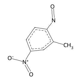 Cc1cc([N+](=O)[O-])ccc1N=O